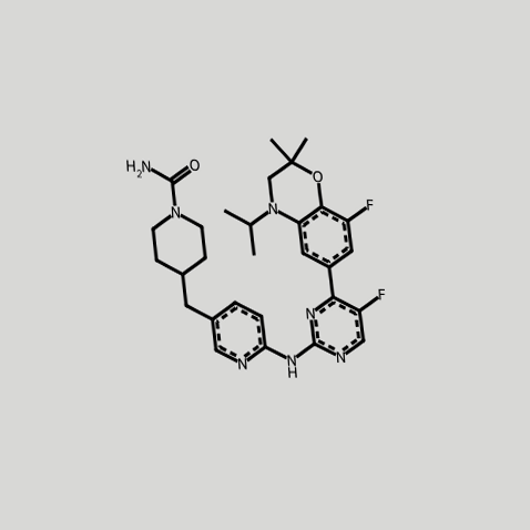 CC(C)N1CC(C)(C)Oc2c(F)cc(-c3nc(Nc4ccc(CC5CCN(C(N)=O)CC5)cn4)ncc3F)cc21